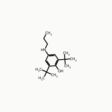 CCCNc1cc(C(C)(C)C)c(O)c(C(C)(C)C)c1